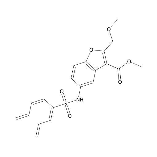 C=C/C=C\C(=C/C=C)S(=O)(=O)Nc1ccc2oc(COC)c(C(=O)OC)c2c1